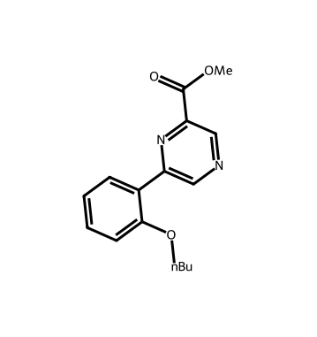 CCCCOc1ccccc1-c1cncc(C(=O)OC)n1